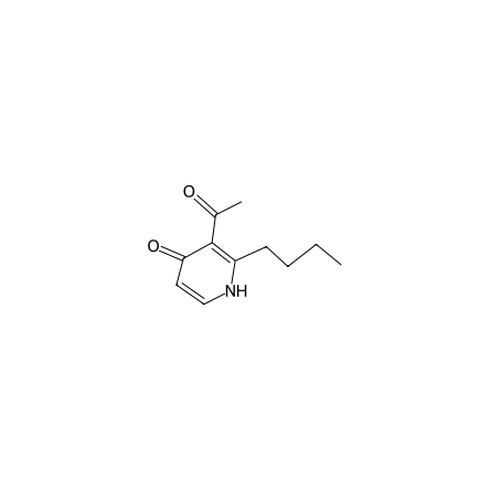 CCCCc1[nH]ccc(=O)c1C(C)=O